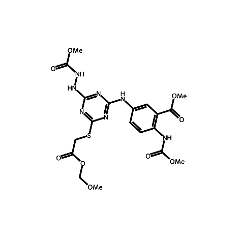 COCOC(=O)CSc1nc(NNC(=O)OC)nc(Nc2ccc(NC(=O)OC)c(C(=O)OC)c2)n1